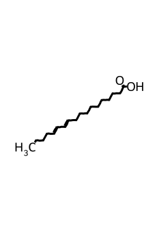 CCCCC=CC=CCCCCCCCCCC(=O)O